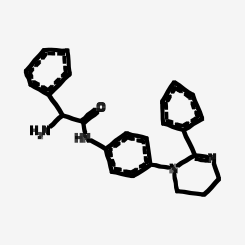 NC(C(=O)Nc1ccc(N2CCCN=C2c2ccccc2)cc1)c1ccccc1